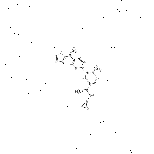 C=C(NC1CC1)c1ccc(C)c(-c2ccc(C(=C)C3CC=CC3)cc2)c1